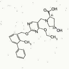 CCOc1nc(OCc2cccc(-c3ccccc3)c2C)ncc1CN1C[C@H](O)C[C@@H]1C(=O)O